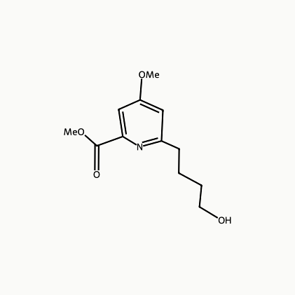 COC(=O)c1cc(OC)cc(CCCCO)n1